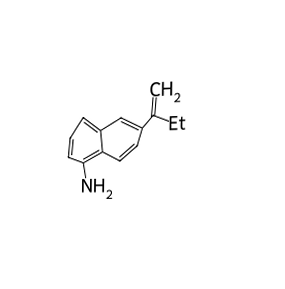 C=C(CC)c1ccc2c(N)cccc2c1